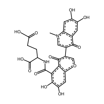 Cn1cc(-c2coc3cc(O)c(O)c(C(=O)NC(CCC(=O)O)C(=O)O)c3c2=O)c(=O)c2cc(O)c(O)cc21